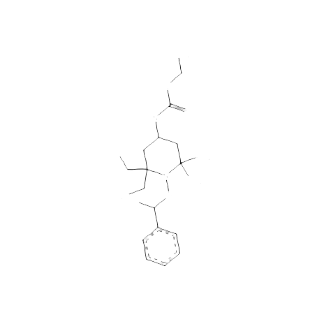 CCOC(=O)NC1CC(C)(C)N(OC(C)c2ccccc2)C(CC)(CC)C1